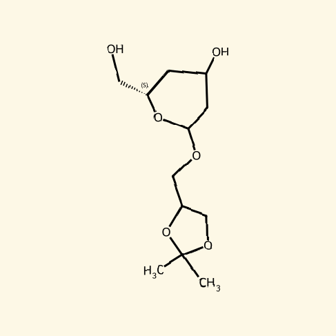 CC1(C)OCC(COC2CC(O)C[C@@H](CO)O2)O1